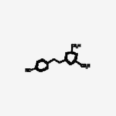 N#Cc1ccc(CCc2cc(C(=O)O)cc(C(=O)O)c2)cc1